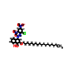 CCCCCCCCCCCCCCCCCCOc1cc(/N=N/c2c(Cl)cc([N+](=O)[O-])cc2[N+](=O)[O-])c2ccccc2c1O